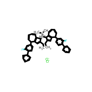 CCC1=CC2=C(C=CC=CC2c2ccc(-c3ccccc3)c(F)c2)[CH]1[Hf+2]([CH]1C(CC)=CC2=C1C=CC=CC2c1ccc(-c2ccccc2)c(F)c1)=[Si](C)C.[Cl-].[Cl-]